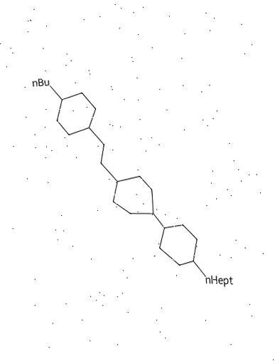 CCCCCCCC1CCC(C2CCC(CCC3CCC(CCCC)CC3)CC2)CC1